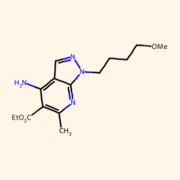 CCOC(=O)c1c(C)nc2c(cnn2CCCCOC)c1N